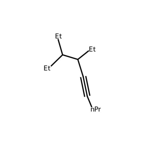 [CH2]CCC#CC(CC)C(C[CH2])CC